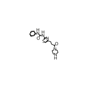 O=C(Nc1ccccc1)Nc1nc(CCC(=O)N2CCNCC2)cs1